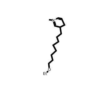 CCOCCCCCCCCC1C=[N+](C)C=CC1